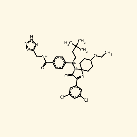 CCOC1CCC2(CC1)N=C(c1cc(Cl)cc(Cl)c1)C(=O)N2[C@H](CCC(C)(C)C)c1ccc(C(=O)NCc2nn[nH]n2)cc1